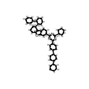 c1ccc(-c2ccc(-c3ccc(-c4nc(-c5ccccc5)nc(-c5ccc6c(c5)oc5cccc(-c7ccccc7-c7ccccc7)c56)n4)cc3)cc2)cc1